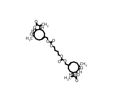 C=C1C(=O)O[C@H]2[C@H]1CC/C(COC(=O)OCCCCOC(=O)OC/C1=C/CC[C@@]3(C)O[C@H]3[C@H]3OC(=O)C(=C)[C@@H]3CC1)=C\CC[C@@]1(C)O[C@@H]21